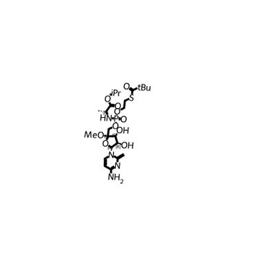 C=C1N=C(N)C=CN1[C@@H]1O[C@@](COP(=O)(N[C@H](C)C(=O)OC(C)C)OCCSC(=O)C(C)(C)C)(OC)[C@@H](O)[C@H]1O